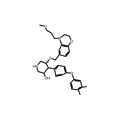 COCCCN1CCOc2ccc(COC3CNCC(O)C3c3ccc(Oc4ccc(C)c(C)c4)cc3)cc21